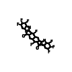 O=c1c2c(F)c3cc4c(=O)n5c6cc(F)c(F)c(F)c6nc5c4c(F)c3cc2c2nc3c(F)c(F)c(F)cc3n12